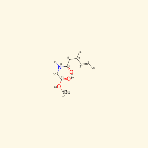 CC=CC(C)CC(=O)N(C)CC(=O)OC(C)(C)C